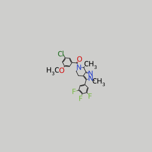 COc1cc(Cl)cc(C(=O)N2CCc3c(nn(C)c3-c3cc(F)c(F)c(F)c3)[C@@H]2C)c1